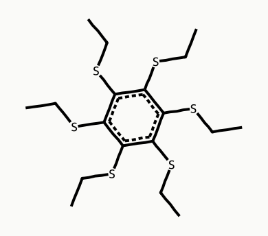 CCSc1c(SCC)c(SCC)c(SCC)c(SCC)c1SCC